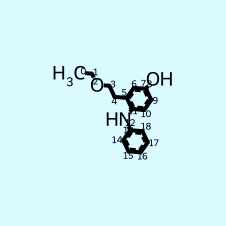 CCOCCc1cc(O)ccc1Nc1ccccc1